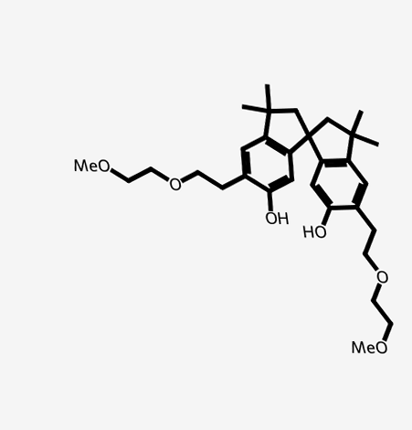 COCCOCCc1cc2c(cc1O)C1(CC2(C)C)CC(C)(C)c2cc(CCOCCOC)c(O)cc21